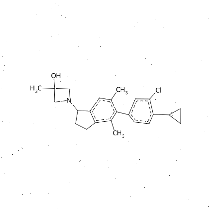 Cc1cc2c(c(C)c1-c1ccc(C3CC3)c(Cl)c1)CCC2N1CC(C)(O)C1